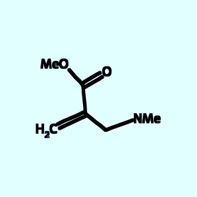 C=C(CNC)C(=O)OC